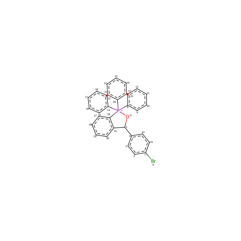 Brc1ccc(C2OP(c3ccccc3)(c3ccccc3)(c3ccccc3)c3ccccc32)cc1